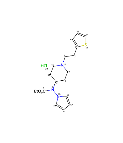 CCOC(=O)N(C1CCN(CCc2cccs2)CC1)n1cccc1.Cl